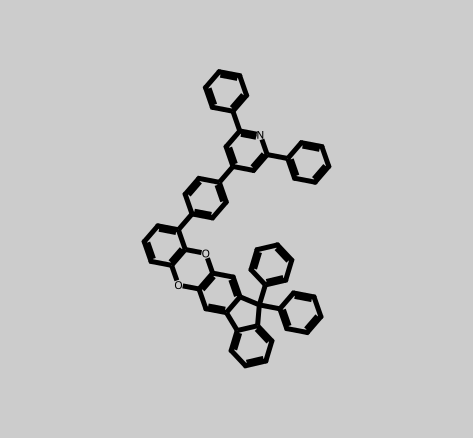 c1ccc(-c2cc(-c3ccc(-c4cccc5c4Oc4cc6c(cc4O5)-c4ccccc4C6(c4ccccc4)c4ccccc4)cc3)cc(-c3ccccc3)n2)cc1